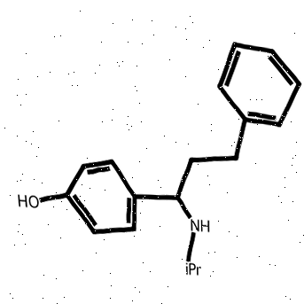 CC(C)NC(CCc1ccccc1)c1ccc(O)cc1